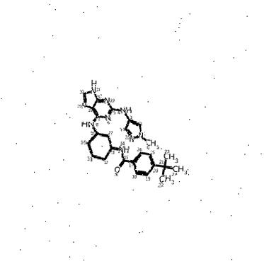 Cn1cc(Nc2nc(NC3CCCC(NC(=O)c4ccc(C(C)(C)C)cc4)C3)c3nc[nH]c3n2)cn1